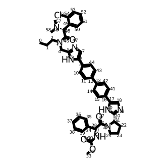 CCCN(Cc1ncc(-c2ccc(-c3ccc(-c4cnc([C@@H]5CCCN5C(=O)[C@H](NC(=O)OC)c5ccccc5)[nH]4)cc3)cc2)[nH]1)C(=O)[C@@H](c1ccccc1Cl)N(C)C